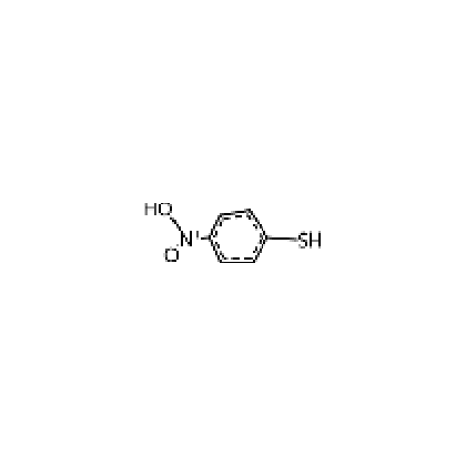 O=[N+](O)c1ccc(S)cc1